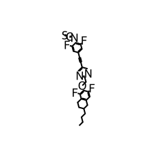 CCCCC1CCc2c(cc(F)c(OCc3ncc(C#Cc4cc(F)c(N=C=S)c(F)c4)cn3)c2F)C1